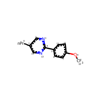 CCCc1cnc(-c2ccc(OC(F)(F)F)cc2)nc1